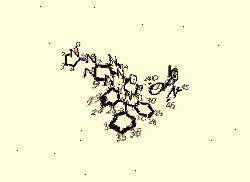 CN1CCC/C1=N\c1ncnc2c1ncn2[C@H]1CN(C(c2ccccc2)(c2ccccc2)c2ccccc2)C[C@@H](CO[PH](=O)N(C)C)O1